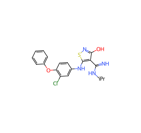 CC(C)NC(=N)c1c(O)nsc1Nc1ccc(Oc2ccccc2)c(Cl)c1